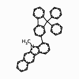 Cn1c2cc3ccccc3cc2c2cccc(-c3ccc4c(c3)C(c3ccccc3)(c3ccccc3)c3ccccc3-4)c21